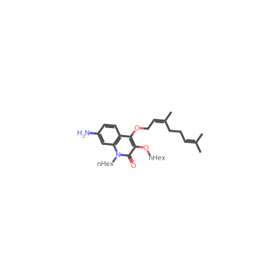 CCCCCCOc1c(OCC=C(C)CCC=C(C)C)c2ccc(N)cc2n(CCCCCC)c1=O